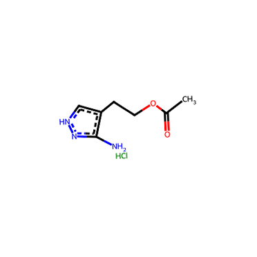 CC(=O)OCCc1c[nH]nc1N.Cl